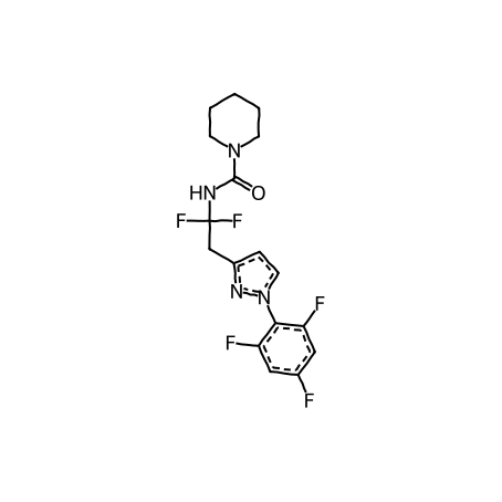 O=C(NC(F)(F)Cc1ccn(-c2c(F)cc(F)cc2F)n1)N1CCCCC1